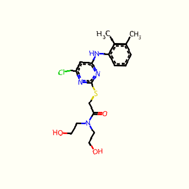 Cc1cccc(Nc2cc(Cl)nc(SCC(=O)N(CCO)CCO)n2)c1C